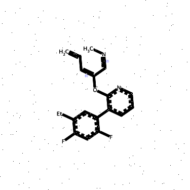 C=C/C=C(\C=N/C)Oc1ncccc1-c1cc(CC)c(F)cc1F